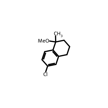 COC1(C)CCCc2cc(Cl)ccc21